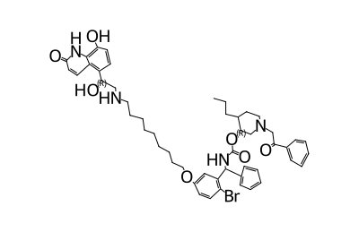 CCCC1CCN(CC(=O)c2ccccc2)C[C@@H]1OC(=O)NC(c1ccccc1)c1cc(OCCCCCCCCCNC[C@H](O)c2ccc(O)c3[nH]c(=O)ccc23)ccc1Br